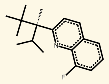 CC(C)[C@](C)(c1ccc2cccc(F)c2n1)C(C)(C)C